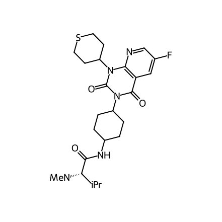 CN[C@H](C(=O)NC1CCC(n2c(=O)c3cc(F)cnc3n(C3CCSCC3)c2=O)CC1)C(C)C